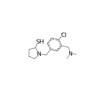 CN(C)Cc1cc(CN2CCCC2S)ccc1Cl